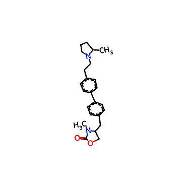 CC1CCCN1CCc1ccc(-c2ccc(CC3COC(=O)N3C)cc2)cc1